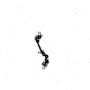 C[C@@H]1CNc2c(sc3ccc4nc(-c5cccc(C6CCC(NC(=O)CCCCCCCCCc7ccc8c(c7)n(C)c(=O)n8C7CCC(=O)NC7=O)CC6)c5)ccc4c23)C(=O)N1